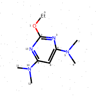 CCOc1nc(N(C)C)cc(N(C)C)n1